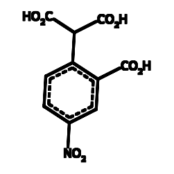 O=C(O)c1cc([N+](=O)[O-])ccc1C(C(=O)O)C(=O)O